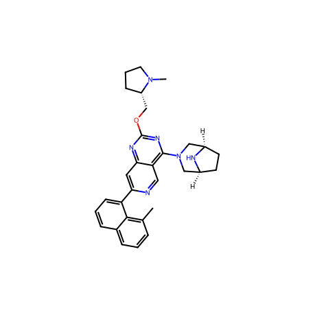 Cc1cccc2cccc(-c3cc4nc(OC[C@@H]5CCCN5C)nc(N5C[C@H]6CC[C@@H](C5)N6)c4cn3)c12